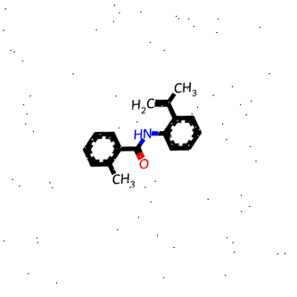 C=C(C)c1ccccc1NC(=O)c1ccccc1C